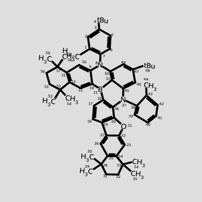 Cc1cc(C(C)(C)C)ccc1N1c2cc3c(cc2B2c4ccc5c(oc6cc7c(cc65)C(C)(C)CCC7(C)C)c4N(c4ccccc4C)c4cc(C(C)(C)C)cc1c42)C(C)(C)CCC3(C)C